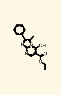 CCOC(=O)c1cnc2nc(-c3ccccc3)c(C)n2c1O